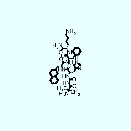 CC(C)(N)C(=O)NC(=O)N[C@@H](Cc1c[nH]cn1)C(=O)N[C@H](Cc1ccc2ccccc2c1)C(=O)N[C@H](Cc1ccccc1)C(=O)N[C@@H](CCCCN)C(N)=O